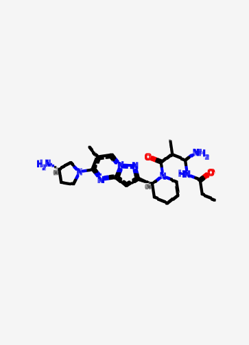 CCC(=O)NC(N)C(C)C(=O)N1CCCC[C@H]1c1cc2nc(N3CC[C@H](N)C3)c(C)cn2n1